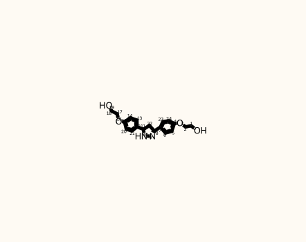 OCCOc1ccc(C2=NNC(c3ccc(OCCO)cc3)C2)cc1